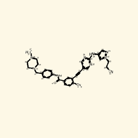 Cc1ccc(C(=O)Nc2ccc(CN3CCN(C)CC3)cc2)cc1C#Cc1cnc(Nc2cnn(CCC#N)c2)nc1